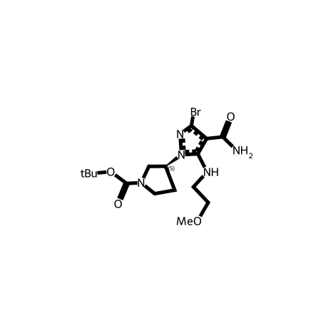 COCCNc1c(C(N)=O)c(Br)nn1[C@H]1CCN(C(=O)OC(C)(C)C)C1